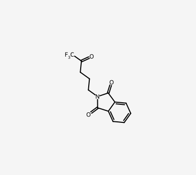 O=C1c2ccccc2C(=O)N1CCCC(=O)C(F)(F)F